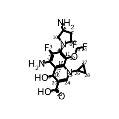 Nc1c(F)c(N2CCC(N)C2)c(OC(F)F)c2c1C(O)C(C(=O)O)=CN2C1CC1